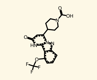 O=C(O)N1CCC(c2cc(=O)[nH]c3c4c(OC(F)(F)F)cccc4nn23)CC1